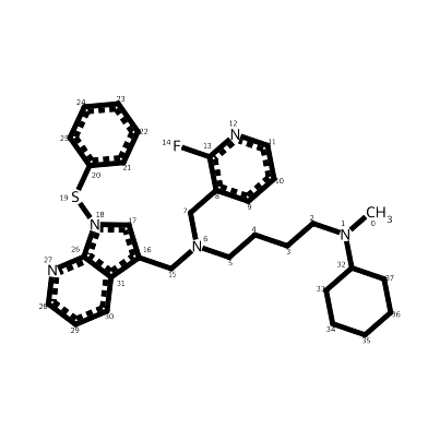 CN(CCCCN(Cc1cccnc1F)Cc1cn(Sc2ccccc2)c2ncccc12)C1CCCCC1